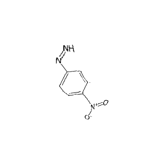 N=Nc1c[c]c([N+](=O)[O-])cc1